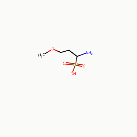 COCCC(N)S(=O)(=O)O